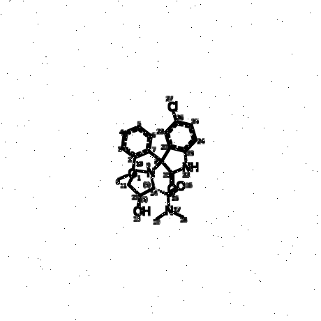 COc1ccccc1C1(N2CC[C@H](O)[C@H]2C(=O)N(C)C)C(=O)Nc2ccc(Cl)cc21